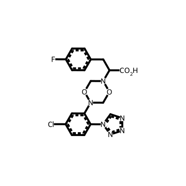 O=C(O)C(Cc1ccc(F)cc1)N1CON(c2cc(Cl)ccc2-n2cnnn2)CO1